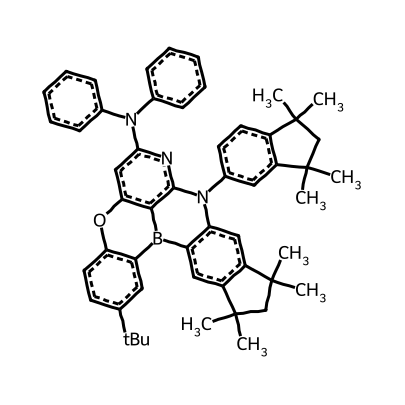 CC(C)(C)c1ccc2c(c1)B1c3cc4c(cc3N(c3ccc5c(c3)C(C)(C)CC5(C)C)c3nc(N(c5ccccc5)c5ccccc5)cc(c31)O2)C(C)(C)CC4(C)C